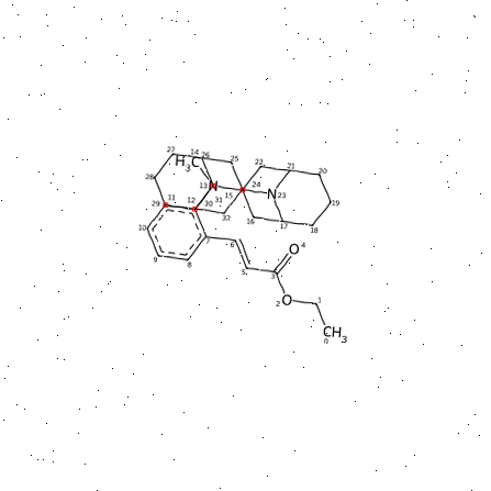 CCOC(=O)/C=C/c1ccccc1N(C)C1CC2CCCC(C1)N2C1CC2CCCC(C2)C1